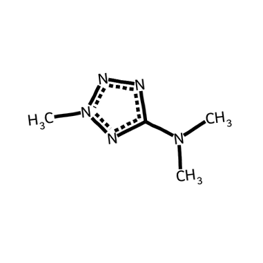 CN(C)c1nnn(C)n1